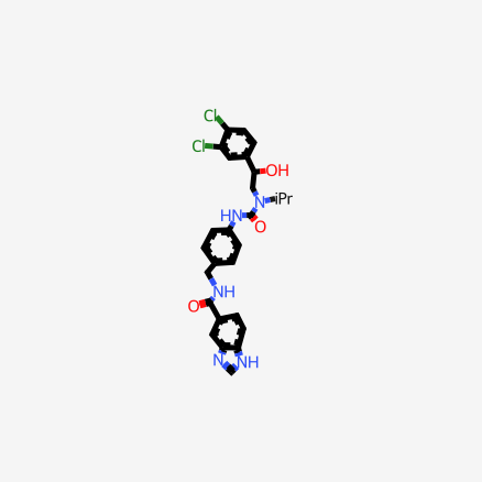 CC(C)N(CC(O)c1ccc(Cl)c(Cl)c1)C(=O)Nc1ccc(CNC(=O)c2ccc3[nH]cnc3c2)cc1